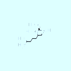 BC(C)CCCC1CN(C)/C(=N/C)N1C